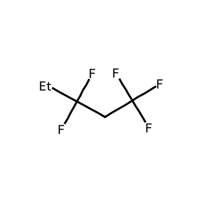 CCC(F)(F)CC(F)(F)F